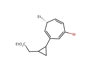 CCOC(=O)CC1CC1C1=C[C@H](CC)C=CC(Br)=C1